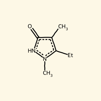 CCc1c(C)c(=O)[nH]n1C